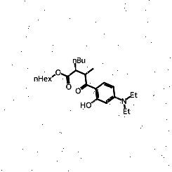 CCCCCCOC(=O)[C@@H](CCCC)C(C)C(=O)c1ccc(N(CC)CC)cc1O